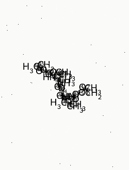 C=C(C)C(=O)OCCOC(=O)NC1CC(C)(C)CC(C)(CNC(=O)CCOC(=O)NCC2(C)CC(NC(=O)OCCOC(=O)C(=C)C)CC(C)(C)C2)C1